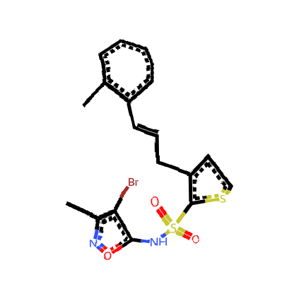 Cc1ccccc1/C=C/Cc1ccsc1S(=O)(=O)Nc1onc(C)c1Br